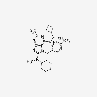 C[C@@H](Nc1nc(C(=O)O)nc2nc(N(C)C3CCCCC3)n(Cc3ccc(C(F)(F)F)cc3)c12)C1CCC1